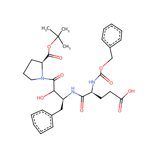 CC(C)(C)OC(=O)[C@@H]1CCCN1C(=O)C(O)[C@H](Cc1ccccc1)NC(=O)[C@H](CCC(=O)O)NC(=O)OCc1ccccc1